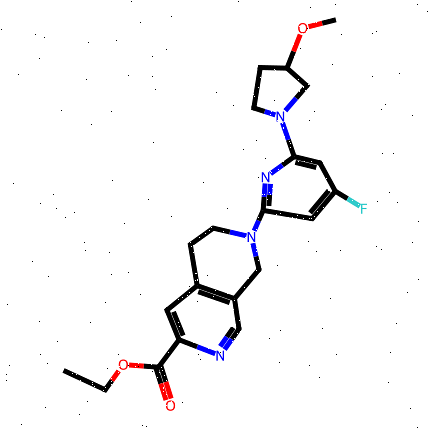 CCOC(=O)c1cc2c(cn1)CN(c1cc(F)cc(N3CCC(OC)C3)n1)CC2